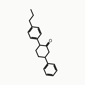 CCCc1ccc(C2CCC(c3ccccc3)CC2=O)cc1